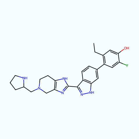 CCc1cc(O)c(F)cc1-c1ccc2c(-c3nc4c([nH]3)CCN(CC3CCCN3)C4)n[nH]c2c1